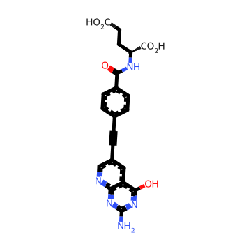 Nc1nc(O)c2cc(C#Cc3ccc(C(=O)N[C@@H](CCC(=O)O)C(=O)O)cc3)cnc2n1